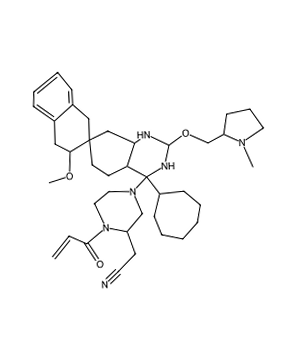 C=CC(=O)N1CCN(C2(C3CCCCCC3)NC(OCC3CCCN3C)NC3CC4(CCC32)Cc2ccccc2CC4OC)CC1CC#N